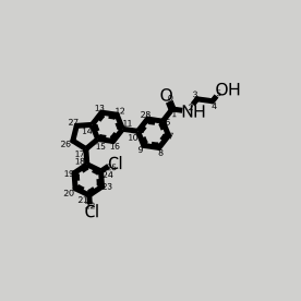 O=C(NCCO)c1cccc(-c2ccc3c(c2)C(c2ccc(Cl)cc2Cl)CC3)c1